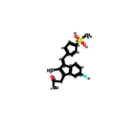 CC1=C(CC(=O)C(C)(C)C)c2cc(F)ccc2/C1=C\c1ccc(S(C)(=O)=O)cc1